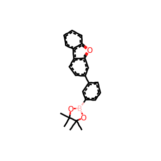 CC1(C)OB(c2cccc(-c3ccc4c(c3)oc3ccccc34)c2)OC1(C)C